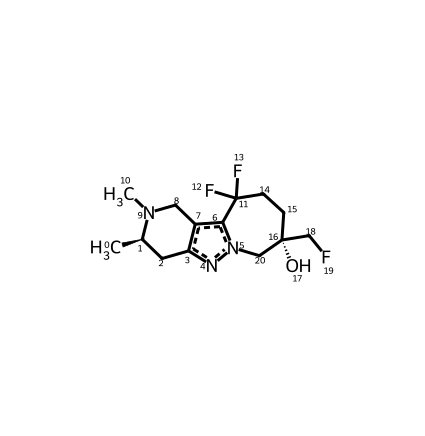 C[C@@H]1Cc2nn3c(c2CN1C)C(F)(F)CC[C@@](O)(CF)C3